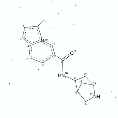 Cc1ccc2ccc(C(=O)NC3CC4CC3CN4)cn12